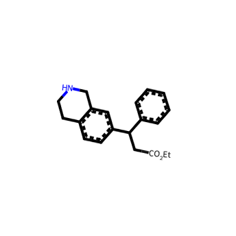 CCOC(=O)CC(c1ccccc1)c1ccc2c(c1)CNCC2